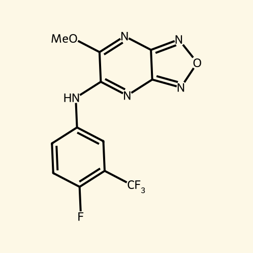 COc1nc2nonc2nc1Nc1ccc(F)c(C(F)(F)F)c1